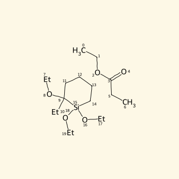 CCOC(=O)CC.CCOC1(CC)CCCC[Si]1(OCC)OCC